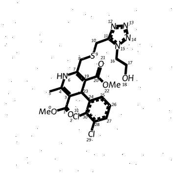 COC(=O)C1=C(C)NC(CSCc2nnnn2CCO)=C(C(=O)OC)C1c1cccc(Cl)c1Cl